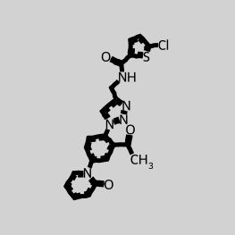 CC(=O)c1cc(-n2ccccc2=O)ccc1-n1cc(CNC(=O)c2ccc(Cl)s2)nn1